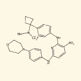 CC(C)(C)N(C(=O)O)C1(c2ccc(Nc3nc(Nc4ccc(N5CCOCC5)cc4)ccc3[N+](=O)[O-])cc2)CCC1